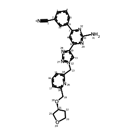 N#Cc1cccc(-c2cc(-c3cn(Cc4cccc(CO[C@H]5CCOC5)n4)nn3)nc(N)n2)c1